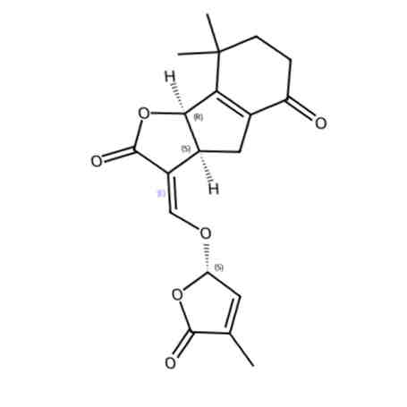 CC1=C[C@@H](O/C=C2/C(=O)O[C@H]3C4=C(C[C@@H]23)C(=O)CCC4(C)C)OC1=O